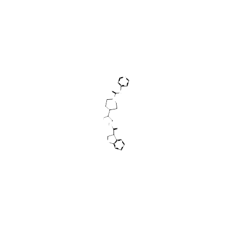 NC(CNC(=O)C1COc2ccccc21)C1CCN(C(=O)Nc2ccncc2)CC1